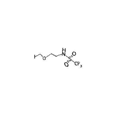 O=S(=O)(NCCOCI)C(F)(F)F